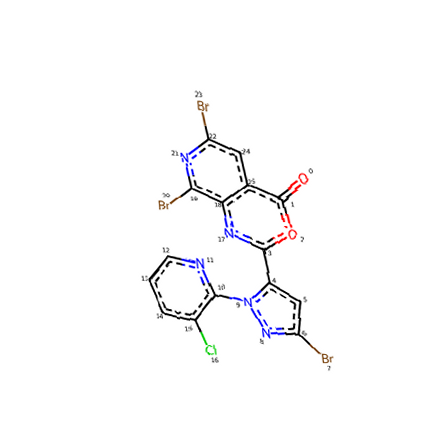 O=c1oc(-c2cc(Br)nn2-c2ncccc2Cl)nc2c(Br)nc(Br)cc12